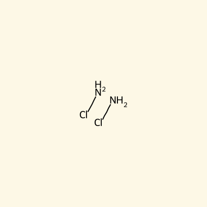 NCl.NCl